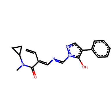 C=C/C(=C\N=C\n1ncc(-c2ccccc2)c1O)C(=O)N(C)C1CC1